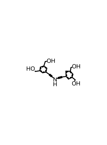 OCc1cc(C#CNC#Cc2cc(CO)cc(CO)c2)cc(CO)c1